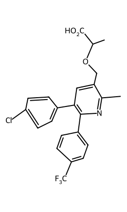 Cc1nc(-c2ccc(C(F)(F)F)cc2)c(-c2ccc(Cl)cc2)cc1COC(C)C(=O)O